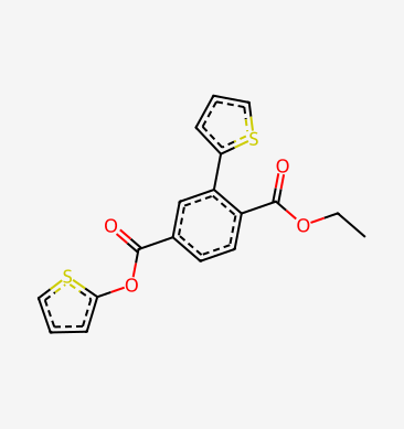 CCOC(=O)c1ccc(C(=O)Oc2cccs2)cc1-c1cccs1